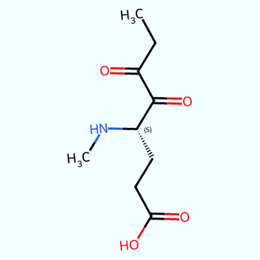 CCC(=O)C(=O)[C@H](CCC(=O)O)NC